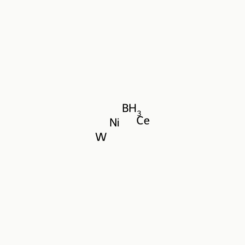 B.[Ce].[Ni].[W]